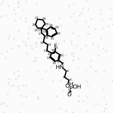 O=[PH](O)OCCCNCc1ccc(CCCCCC2(c3ccccc3)CCCCC2)c(F)c1